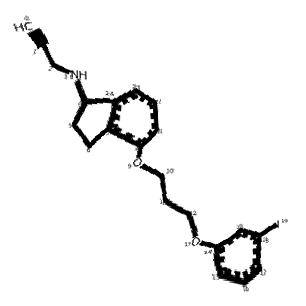 C#CCNC1CCc2c(OCCCOc3cccc(I)c3)cccc21